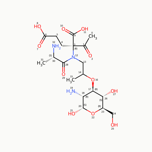 CC(=O)[C@](CCC(=O)O)(C(=O)O)N(CC(C)O[C@@H]1[C@@H](N)[C@@H](O)O[C@H](CO)[C@H]1O)C(=O)[C@H](C)N